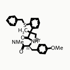 CNC(=O)[C@H](Cc1ccc(OC)cc1)NC(=O)C(C)(CC(C)C)c1ccccc1SCc1ccccc1